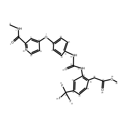 CNC(=O)c1cc(Oc2ccc(NC(=O)Nc3cc(C(F)(F)F)ccc3CC(=O)OC)cc2)ccn1